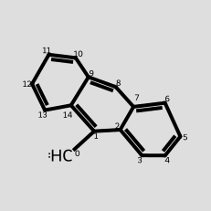 [CH]c1c2ccccc2cc2ccccc12